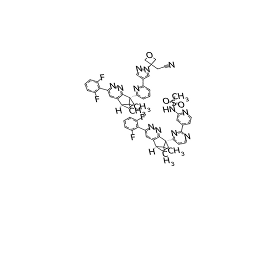 CC1(C)[C@H]2CC[C@]1(c1cccc(-c3cnn(C4(CC#N)COC4)c3)n1)c1nnc(-c3c(F)cccc3F)cc12.CC1(C)[C@H]2CC[C@]1(c1ccnc(-c3ccnc(NS(C)(=O)=O)c3)n1)c1nnc(-c3c(F)cccc3F)cc12